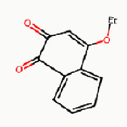 CCOC1=CC(=O)C(=O)c2ccccc21